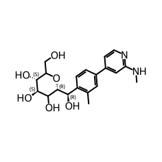 CNc1cc(-c2ccc([C@@H](O)[C@H]3OC(CO)[C@@H](O)[C@H](O)C3O)c(C)c2)ccn1